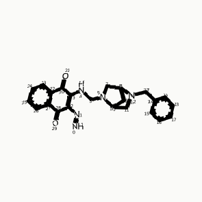 N=NC1=C(NCN2CC3CC2CN3Cc2ccccc2)C(=O)c2ccccc2C1=O